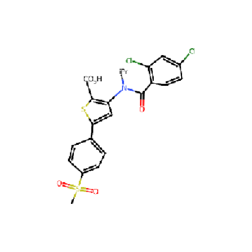 CC(C)N(C(=O)c1ccc(Cl)cc1Cl)c1cc(-c2ccc(S(C)(=O)=O)cc2)sc1C(=O)O